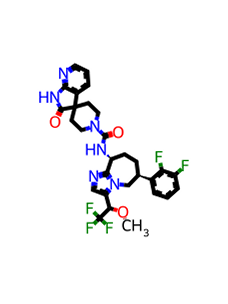 COC(c1cnc2n1C[C@H](c1cccc(F)c1F)CC[C@H]2NC(=O)N1CCC2(CC1)C(=O)Nc1ncccc12)C(F)(F)F